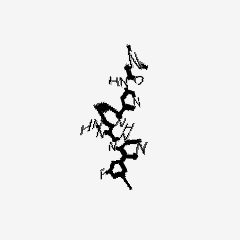 Cc1cc(F)cc(-c2cncc3[nH]c(-c4n[nH]c5ccc(-c6cncc(NC(=O)CN(C)C)c6)nc45)nc23)c1